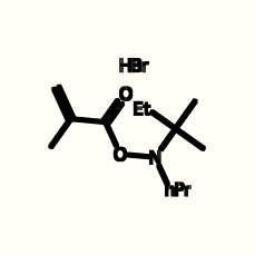 Br.C=C(C)C(=O)ON(CCC)C(C)(C)CC